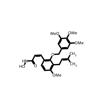 COc1ccc(/C=C\C(=O)NO)c(OCc2cc(OC)c(OC)c(OC)c2)c1CC=C(C)C